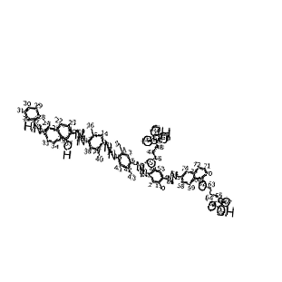 Cc1cc(N=Nc2cc(C)c(N=Nc3cc(C)c(N=Nc4ccc5cc(Nc6ccccc6)ccc5c4O)cc3C)cc2C)c(OCCCS(=O)(=O)O)cc1N=Nc1ccc2c(OCCCS(=O)(=O)O)cccc2c1